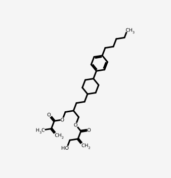 C=C(C)C(=O)OCC(CCC1CCC(c2ccc(CCCCC)cc2)CC1)COC(=O)C(=C)CO